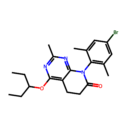 CCC(CC)Oc1nc(C)nc2c1CCC(=O)N2c1c(C)cc(Br)cc1C